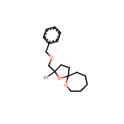 CCC1(COCc2ccccc2)CCC2(CCCCCO2)O1